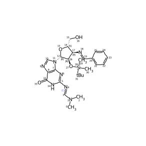 CN(C)/C=N/c1nc2c(ncn2[C@@H]2O[C@H](CO)[C@@H](N=Cc3ccccc3)[C@H]2O[Si](C)(C)C(C)(C)C)c(=O)[nH]1